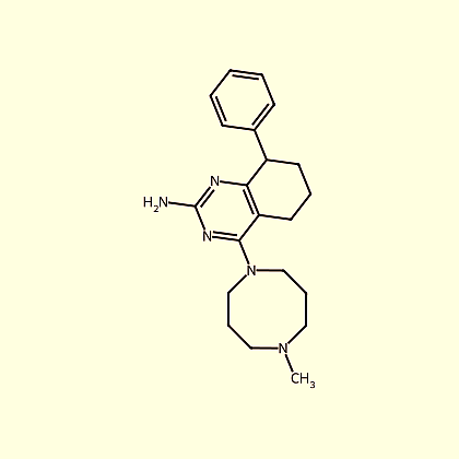 CN1CCCN(c2nc(N)nc3c2CCCC3c2ccccc2)CCC1